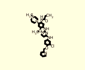 C=CC(=O)Nc1cc(Nc2nccc(Nc3ccc(OCc4ccccn4)c(Cl)c3)n2)c(OC)cc1N1C=CCN(C)C=C1